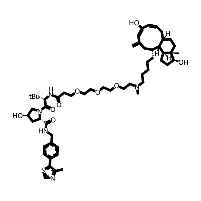 C=C1/C=C(O)\C=C/C[C@H]2CC[C@]3(C)[C@@H](O)CC[C@H]3[C@@H]2[C@H](CCCCCN(C)CCOCCOCCOCCC(=O)N[C@H](C(=O)N2C[C@H](O)C[C@H]2C(=O)NCc2ccc(-c3scnc3C)cc2)C(C)(C)C)C1